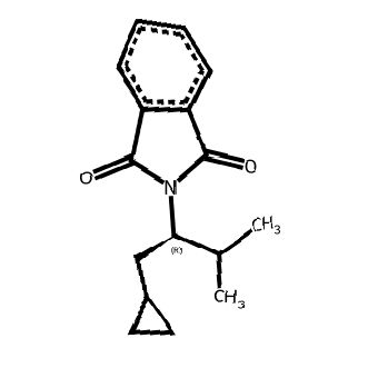 CC(C)[C@@H](CC1CC1)N1C(=O)c2ccccc2C1=O